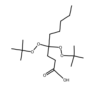 CCCCCC(CCC(=O)O)(OOC(C)(C)C)OOC(C)(C)C